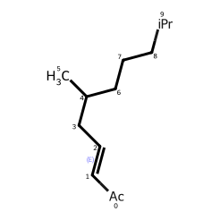 CC(=O)/C=C/CC(C)CCCC(C)C